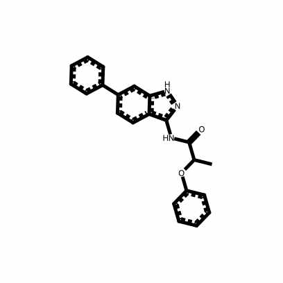 CC(Oc1ccccc1)C(=O)Nc1n[nH]c2cc(-c3ccccc3)ccc12